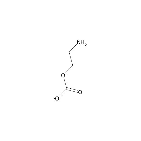 NCCOC([O])=O